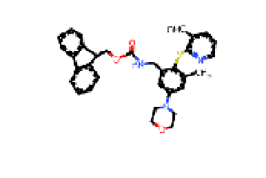 Cc1cc(N2CCOCC2)cc(CNC(=O)OCC2c3ccccc3-c3ccccc32)c1Sc1ncccc1C=O